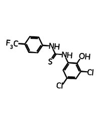 Oc1c(Cl)cc(Cl)cc1NC(=S)Nc1ccc(C(F)(F)F)cc1